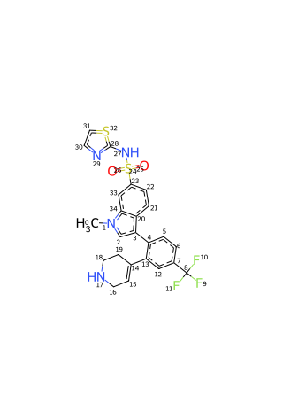 Cn1cc(-c2ccc(C(F)(F)F)cc2C2=CCNCC2)c2ccc(S(=O)(=O)Nc3nccs3)cc21